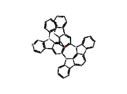 c1ccc(-n2c3ccc(-n4c5ccccc5c5ccc6c7ccccc7n(-c7ccc8sc9ccccc9c8c7)c6c54)cc3c3ccncc32)cc1